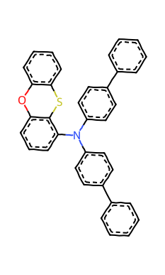 c1ccc(-c2ccc(N(c3ccc(-c4ccccc4)cc3)c3cccc4c3Sc3ccccc3O4)cc2)cc1